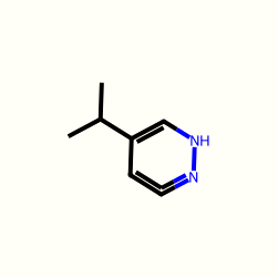 CC(C)C1=CNN=C=C1